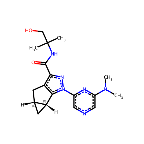 CN(C)c1cncc(-n2nc(C(=O)NC(C)(C)CO)c3c2[C@@H]2C[C@@H]2C3)n1